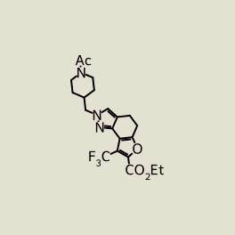 CCOC(=O)c1oc2c(c1C(F)(F)F)-c1nn(CC3CCN(C(C)=O)CC3)cc1CC2